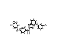 Cc1cccc(-c2cccc3nc(Nc4ccc(CN5CCOCC5)cc4)nn23)c1